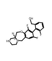 OCc1cccc(F)c1-c1c(F)cc2c(c1F)OC[C@H]1CNCCN1C2